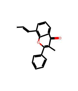 CC=Cc1cccc2c(=O)c(C)c(-c3ccccc3)oc12